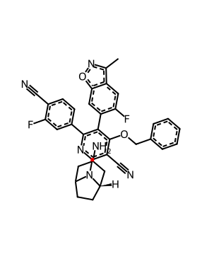 Cc1noc2cc(-c3c(-c4ccc(C#N)c(F)c4)nc(N4C5CC[C@H]4CC(N)C5)c(C#N)c3OCc3ccccc3)c(F)cc12